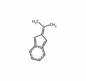 C[Si](C)=C1[C]=c2ccccc2=C1